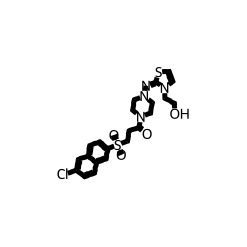 O=C(CCS(=O)(=O)c1ccc2cc(Cl)ccc2c1)N1CCN(N=c2sccn2CCO)CC1